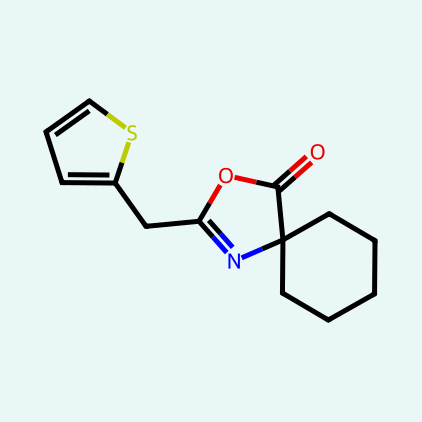 O=C1OC(Cc2cccs2)=NC12CCCCC2